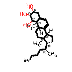 CC(C)CCC[C@@H](C)[C@H]1CC[C@H]2C3=CC=C4C[C@@H](O)[C@H](O)[C@H](O)[C@]4(C)[C@H]3CC[C@]12C